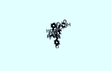 O=C1CN(C(=O)c2nc(Cn3nc(-c4ccc(Cl)cc4)n(C[C@H](O)C(F)(F)F)c3=O)nn2-c2ncccc2C(=O)O)CCN1